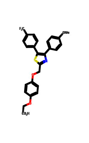 COc1ccc(-c2nc(COc3ccc(OCC(=O)O)cc3)sc2-c2ccc(C(F)(F)F)cc2)cc1